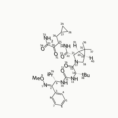 CO/N=C(/c1ccccc1)[C@@H](NC(=O)N[C@H](C(=O)N1C[C@H]2[C@@H]([C@H]1C(=O)NC(CC1CC1)C(=O)C(N)=O)C2(C)C)C(C)(C)C)C(C)C